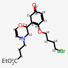 CCOC(=O)CCCN1C=COC(C2=C(OCCCCBr)C=CC(=O)C2)C1